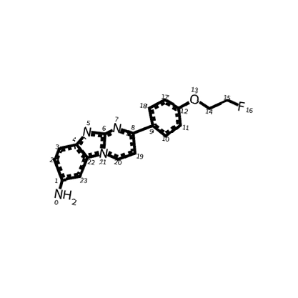 Nc1ccc2nc3nc(-c4ccc(OCCF)cc4)ccn3c2c1